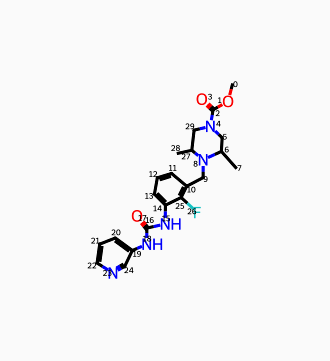 COC(=O)N1CC(C)N(Cc2cccc(NC(=O)Nc3cccnc3)c2F)C(C)C1